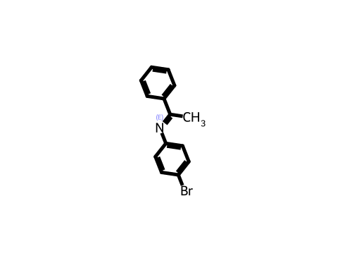 C/C(=N\c1ccc(Br)cc1)c1ccccc1